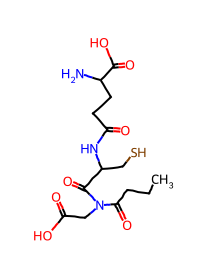 CCCC(=O)N(CC(=O)O)C(=O)C(CS)NC(=O)CCC(N)C(=O)O